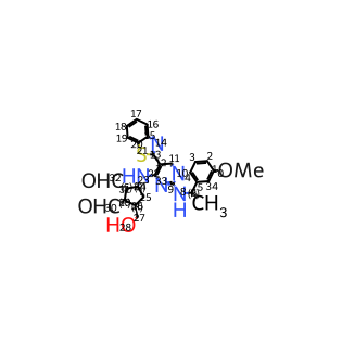 COc1cccc([C@@H](C)Nc2ncc(-c3nc4ccccc4s3)c(N[C@@H]3C[C@@H](CO)[C@@H](C=O)[C@@H]3C=O)n2)c1